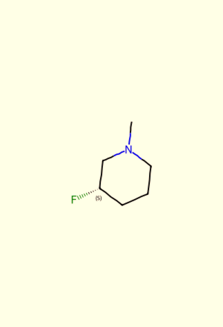 CN1CCC[C@H](F)C1